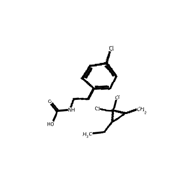 CCC1C(C)C1(Cl)Cl.O=C(O)NCCc1ccc(Cl)cc1